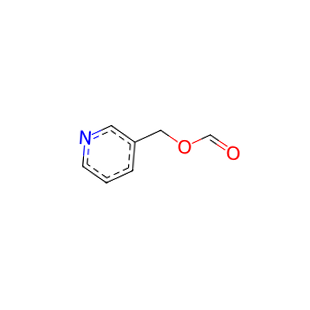 O=COCc1cccnc1